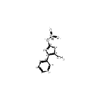 Cc1sc(O[SH](=O)=O)nc1-c1ccccc1